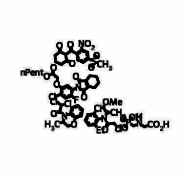 CC1COc2ccccc2N1C(=O)C(Cl)Cl.CCCCCOC(=O)COc1cc(N2C(=O)C3=C(CCCC3)C2=O)c(F)cc1Cl.CCc1cccc(C)c1N(C(=O)CCl)C(C)COC.CS(=O)(=O)c1ccc(C(=O)C2C(=O)CCCC2=O)c([N+](=O)[O-])c1.O=C(O)CNCP(=O)(O)O